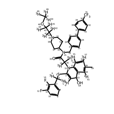 [2H]C1=C(SC([2H])([2H])c2cccc(F)c2F)N(C([2H])([2H])C(=O)N(Cc2ccc(-c3ccc(C(F)(F)F)cc3)cc2)C2CCN(C([2H])([2H])C([2H])([2H])OC([2H])([2H])[2H])CC2)c2c([2H])c([2H])c(C)c([2H])c2C1O